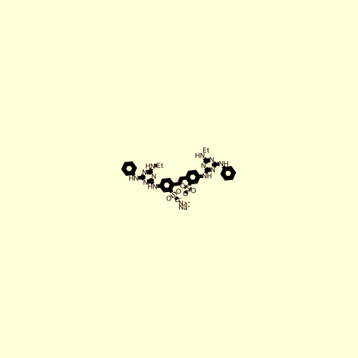 CCNc1nc(Nc2ccccc2)nc(Nc2ccc(/C=C/c3ccc(Nc4nc(NCC)nc(Nc5ccccc5)n4)cc3S(=O)(=O)[O-])c(S(=O)(=O)[O-])c2)n1.[Na+].[Na+]